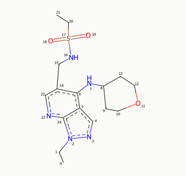 CCn1ncc2c(NC3CCOCC3)c(CNS(=O)(=O)CC)cnc21